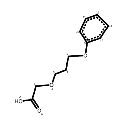 O=C(O)COCCCOc1ccccc1